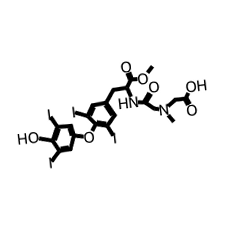 COC(=O)C(Cc1cc(I)c(Oc2cc(I)c(O)c(I)c2)c(I)c1)NC(=O)CN(C)CC(=O)O